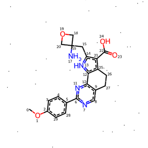 COc1ccc(-c2ncc3c(n2)-c2[nH]c(CC4(N)COC4)c(C(=O)O)c2CC3)cc1